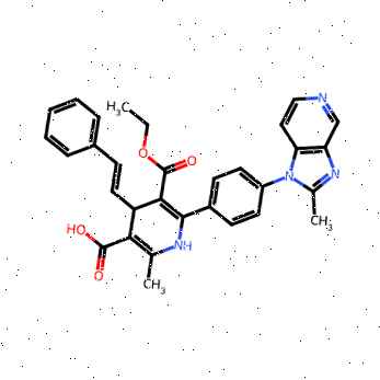 CCOC(=O)C1=C(c2ccc(-n3c(C)nc4cnccc43)cc2)NC(C)=C(C(=O)O)C1C=Cc1ccccc1